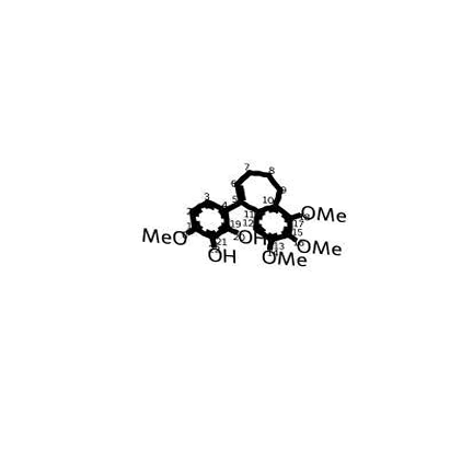 COc1ccc(C2=CCCCc3c2cc(OC)c(OC)c3OC)c(O)c1O